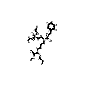 CCCN[C@H](CCCCN(CCP(=O)(OCC)OCC)C(=O)OCc1ccccc1)C(=O)OC